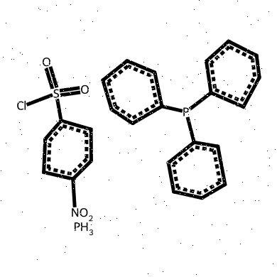 O=[N+]([O-])c1ccc(S(=O)(=O)Cl)cc1.P.c1ccc(P(c2ccccc2)c2ccccc2)cc1